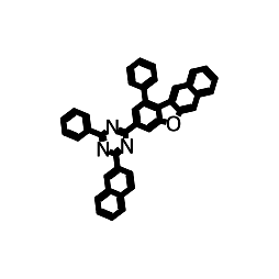 c1ccc(-c2nc(-c3ccc4ccccc4c3)nc(-c3cc(-c4ccccc4)c4c(c3)oc3cc5ccccc5cc34)n2)cc1